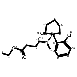 CCOC(=O)CCC(=O)N(C)[C@]1(c2ccccc2Cl)CCCCC1=O